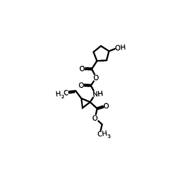 C=CC1CC1(NC(=O)OC(=O)C1CCC(O)C1)C(=O)OCC